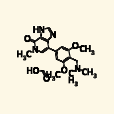 COc1cc(-c2cn(C)c(=O)c3[nH]cnc23)cc(OC)c1CN(C)C.O=CO